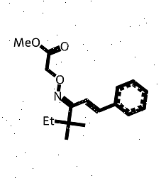 CCC(C)(C)C(/C=C/c1ccccc1)=N/OCC(=O)OC